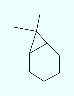 CC1(C)C2[CH]CCCC21